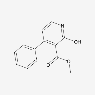 COC(=O)c1c(-c2ccccc2)ccnc1O